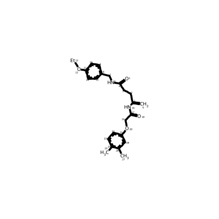 C=C(CCC(=O)NCc1ccc(OCC)cc1)NC(=O)COc1ccc(C)c(C)c1